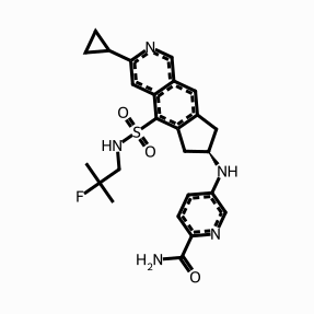 CC(C)(F)CNS(=O)(=O)c1c2c(cc3cnc(C4CC4)cc13)C[C@@H](Nc1ccc(C(N)=O)nc1)C2